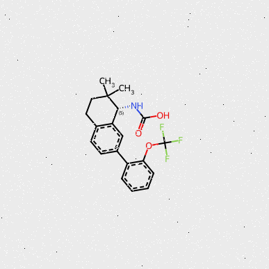 CC1(C)CCc2ccc(-c3ccccc3OC(F)(F)F)cc2[C@H]1NC(=O)O